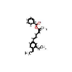 CCc1ccc(C=CCCC(C)OC(=O)c2ccccc2)cc1CC